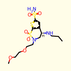 CCCN[C@H]1CN(CCOCCOC)S(=O)(=O)c2sc(S(N)(=O)=O)cc21